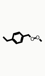 CCc1ccc(COOC)cc1